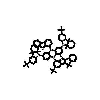 CC(C)(C)C1=CC2C(C=C1)N(c1cc3c4c(c1)-n1c5c(c6cc(C(C)(C)C)cc(c61)B4c1ccc(N4c6ccc(C(C)(C)C)cc6C6(C)CCCCC46C)cc1N3c1cccc3c1oc1ccccc13)C(C)(C)c1ccccc1-5)C1(C)CCCCC21C